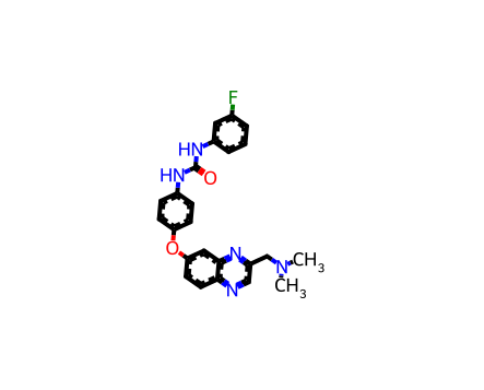 CN(C)Cc1cnc2ccc(Oc3ccc(NC(=O)Nc4cccc(F)c4)cc3)cc2n1